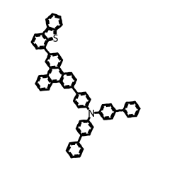 c1ccc(-c2ccc(N(c3ccc(-c4ccccc4)cc3)c3ccc(-c4ccc5c6ccc(-c7cccc8c7sc7ccccc78)cc6c6ccccc6c5c4)cc3)cc2)cc1